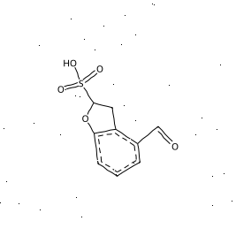 O=Cc1cccc2c1CC(S(=O)(=O)O)O2